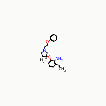 C=Cc1cccc(OC2(C)CCN(CCOc3ccccc3)C2)c1N